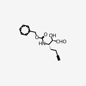 C#CCC[C@H](NC(=O)OCc1ccccc1)[C@@H](O)C=O